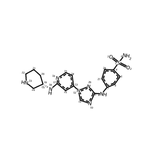 NS(=O)(=O)c1ccc(Nc2ncn(-c3ccnc(N[C@H]4CCCNC4)c3)n2)cc1